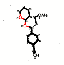 C#Cc1ccc([C@@H](CCOC)OC2CCCCO2)cc1